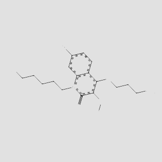 CCCCCCn1c(=O)c(OC)c(OCCCC)c2ccc(N)cc21